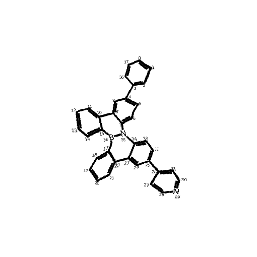 c1ccc(-c2ccc3c(c2)-c2ccccc2B2c4ccccc4-c4cc(-c5ccncc5)ccc4N23)cc1